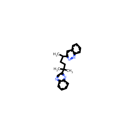 CC(CCC(C)(C)c1cnc2ccccc2n1)c1cc2ccccc2nn1